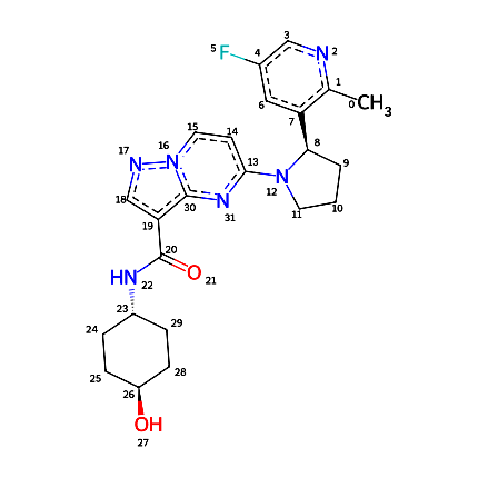 Cc1ncc(F)cc1[C@H]1CCCN1c1ccn2ncc(C(=O)N[C@H]3CC[C@H](O)CC3)c2n1